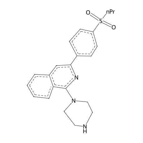 CCCS(=O)(=O)c1ccc(-c2cc3ccccc3c(N3CCNCC3)n2)cc1